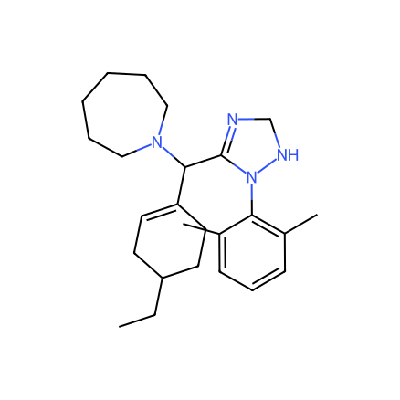 CCC1CC=C(C(C2=NCNN2c2c(C)cccc2C)N2CCCCCC2)CC1